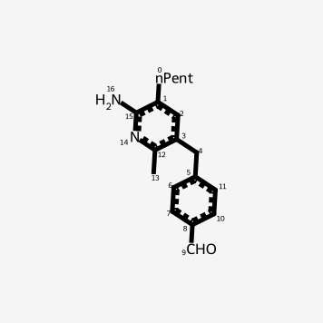 CCCCCc1cc(Cc2ccc(C=O)cc2)c(C)nc1N